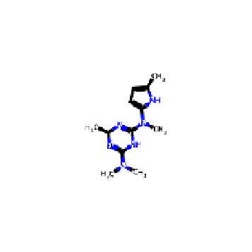 Cc1ccc(N(C)C2=NC(C)N=C(N(C)C)N2)[nH]1